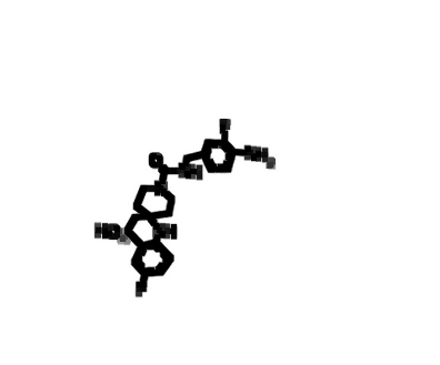 Nc1ccc(CNC(=O)N2CCC3(CC2)C[C@@H](O)c2cc(F)ccc2N3)cc1F